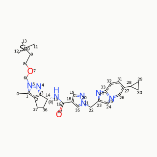 Cc1c2c(nn1COCC[Si](C)(C)C)[C@H](NC(=O)c1cnn(Cc3cn4cc(C5CC5)ccc4n3)c1)CC2